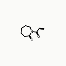 C=CC(=O)N1CCCCCC1=O